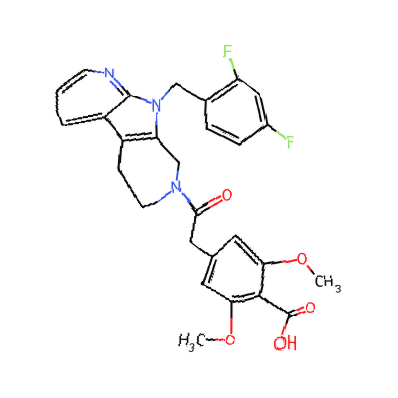 COc1cc(CC(=O)N2CCc3c(n(Cc4ccc(F)cc4F)c4ncccc34)C2)cc(OC)c1C(=O)O